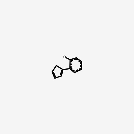 [O]c1ccccc1C1=CC=CC1